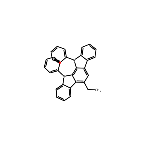 CCc1cc2c3ccccc3n(-c3ccccc3)c2c2c1c1ccccc1n2-c1ccccc1